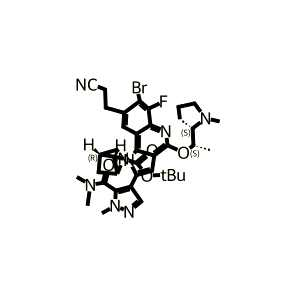 C[C@H](Oc1nc2c(F)c(Br)c(CCC#N)cc2c2c1cc(-c1cnn(C)c1C(=O)N(C)C)n2[C@@H]1C2C[C@@H]1CN2C(=O)OC(C)(C)C)[C@@H]1CCCN1C